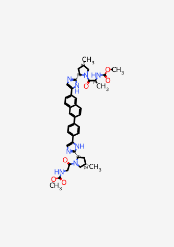 COC(=O)NCC(=O)N1C[C@@H](C)C[C@H]1c1ncc(-c2ccc(-c3ccc4cc(-c5cnc([C@@H]6C[C@H](C)CN6C(=O)[C@H](C)NC(=O)OC)[nH]5)ccc4c3)cc2)[nH]1